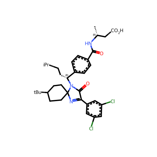 CC(C)CC[C@H](c1ccc(C(=O)N[C@H](C)CC(=O)O)cc1)N1C(=O)C(c2cc(Cl)cc(Cl)c2)=NC12CCC(C(C)(C)C)CC2